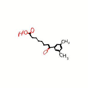 Cc1cc(C)cc(C(=O)CCCCCCC(=O)O)c1